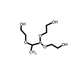 CC(OCCO)N(OCCO)OCCO